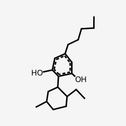 CCCCCc1cc(O)c(C2CC(C)CCC2CC)c(O)c1